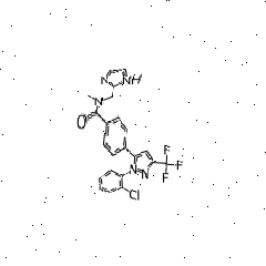 CN(Cc1ncc[nH]1)C(=O)c1ccc(-c2cc(C(F)(F)F)nn2-c2ccccc2Cl)cc1